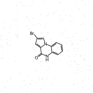 O=c1[nH]c2ccccc2n2cc(Br)cc12